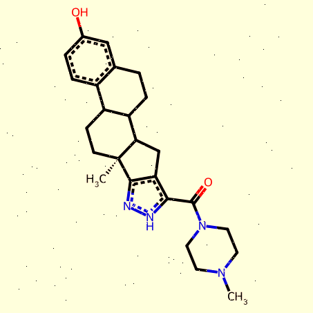 CN1CCN(C(=O)c2[nH]nc3c2CC2C4CCc5cc(O)ccc5C4CC[C@]32C)CC1